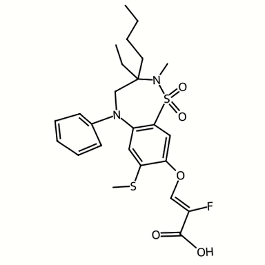 CCCCC1(CC)CN(c2ccccc2)c2cc(SC)c(O/C=C(\F)C(=O)O)cc2S(=O)(=O)N1C